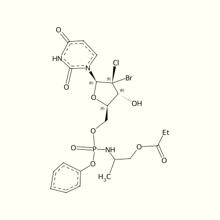 CCC(=O)OCC(C)NP(=O)(OC[C@H]1O[C@@H](n2ccc(=O)[nH]c2=O)[C@](Cl)(Br)[C@@H]1O)Oc1ccccc1